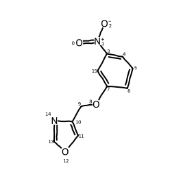 O=[N+]([O-])c1cccc(OCc2cocn2)c1